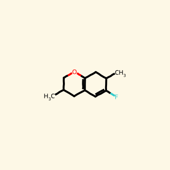 CC1COC2=C(C=C(F)C(C)C2)C1